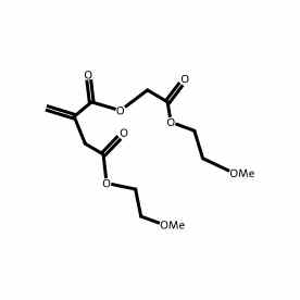 C=C(CC(=O)OCCOC)C(=O)OCC(=O)OCCOC